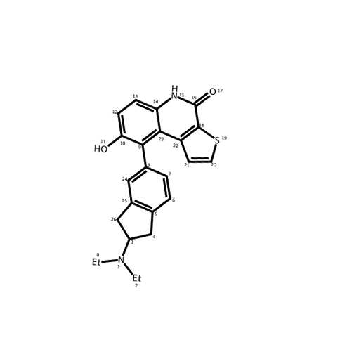 CCN(CC)C1Cc2ccc(-c3c(O)ccc4[nH]c(=O)c5sccc5c34)cc2C1